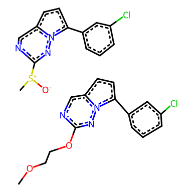 COCCOc1ncc2ccc(-c3cccc(Cl)c3)n2n1.C[S+]([O-])c1ncc2ccc(-c3cccc(Cl)c3)n2n1